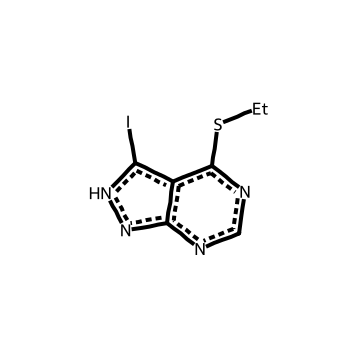 CCSc1ncnc2n[nH]c(I)c12